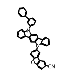 N#Cc1ccc2oc3ccc(-n4c5ccccc5c5cc6c(cc54)c4ccccc4n6-c4cccc(-c5ccccc5)c4)cc3c2c1